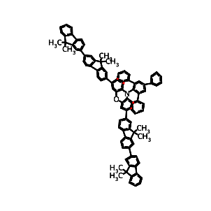 CC1(C)c2ccccc2-c2ccc(-c3ccc4c(c3)C(C)(C)c3cc(-c5ccc6c(c5)Oc5cc(-c7ccc8c(c7)C(C)(C)c7cc(-c9ccc%10c(c9)C(C)(C)c9ccccc9-%10)ccc7-8)ccc5N6c5c(-c6ccccc6)cc(-c6ccccc6)cc5-c5ccccc5)ccc3-4)cc21